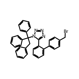 BrCc1ccc(-c2ccccc2-c2nnnn2C(Cc2ccccc2)(c2ccccc2)c2ccccc2)cc1